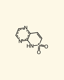 O=S1(=O)C=Cc2nccnc2N1